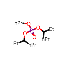 CCCOP(=O)(OC(CC)CCC)OC(CC)CCC